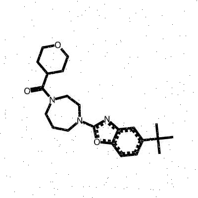 CC(C)(C)c1ccc2oc(N3CCCN(C(=O)C4CCOCC4)CC3)nc2c1